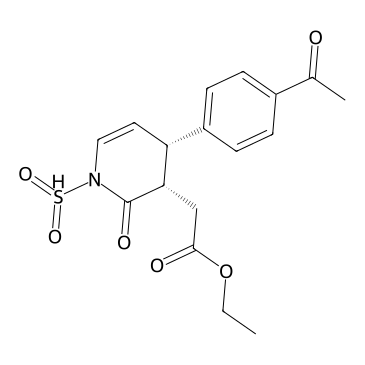 CCOC(=O)C[C@@H]1C(=O)N([SH](=O)=O)C=C[C@@H]1c1ccc(C(C)=O)cc1